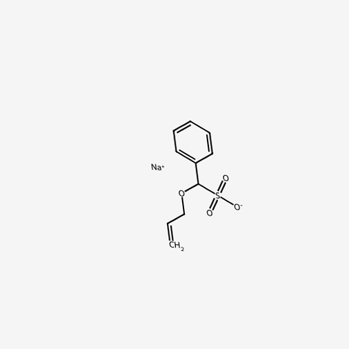 C=CCOC(c1ccccc1)S(=O)(=O)[O-].[Na+]